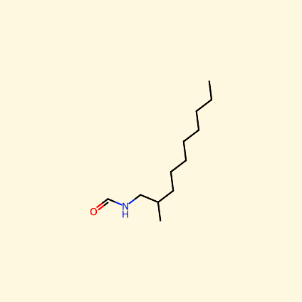 CCCCCCCCC(C)CNC=O